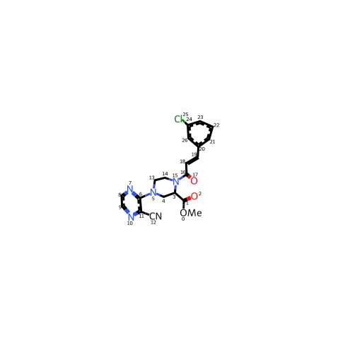 COC(=O)C1CN(c2nccnc2C#N)CCN1C(=O)C=Cc1cccc(Cl)c1